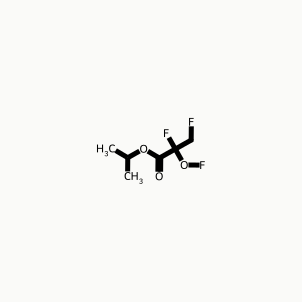 CC(C)OC(=O)C(F)(CF)OF